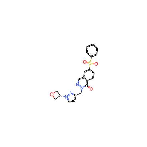 O=c1c2ccc(S(=O)(=O)c3ccccc3)cc2cnn1Cc1ccn(C2COC2)n1